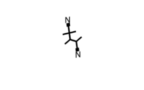 CC(C#N)C(C)C(C)(C)C#N